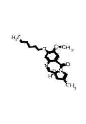 CCCCCCOc1cc2c(cc1OC)C(=O)N1C=C(C)C[C@H]1C=N2